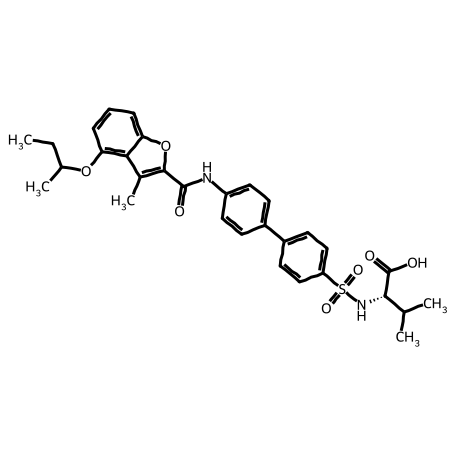 CCC(C)Oc1cccc2oc(C(=O)Nc3ccc(-c4ccc(S(=O)(=O)N[C@H](C(=O)O)C(C)C)cc4)cc3)c(C)c12